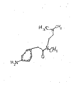 CN(C)CCN(C)C(=O)Cc1ccc(N)cc1